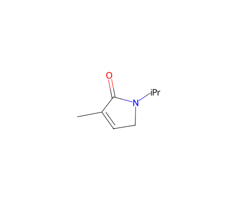 CC1=CCN(C(C)C)C1=O